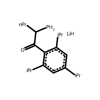 [CH2]CCC(P)C(=O)c1c(C(C)C)cc(C(C)C)cc1C(C)C.[LiH]